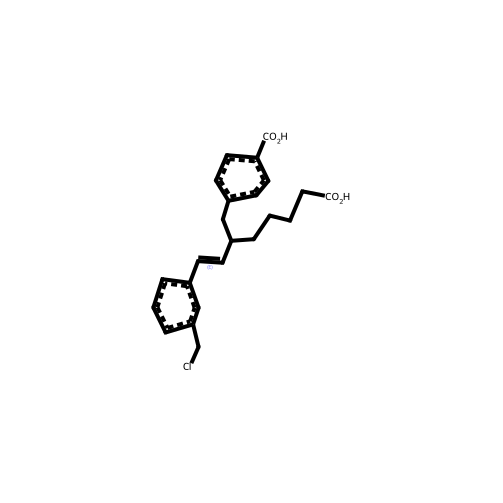 O=C(O)CCCCC(/C=C/c1cccc(CCl)c1)Cc1ccc(C(=O)O)cc1